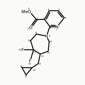 COC(=O)c1cccnc1N1CCC(CC2CC2)C(F)(F)CC1